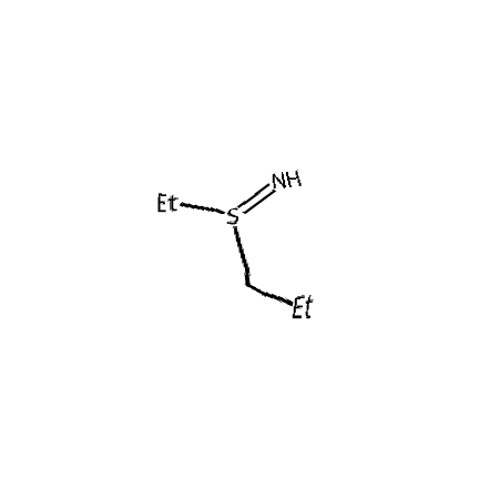 CCCS(=N)CC